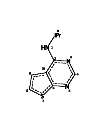 CC(C)Nc1ncnc2sccc12